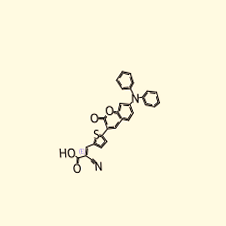 N#C/C(=C\c1ccc(-c2cc3ccc(N(c4ccccc4)c4ccccc4)cc3oc2=O)s1)C(=O)O